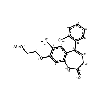 COCCOc1cc2c(cc1N)C(c1ccccc1Cl)=NCC(=S)N2